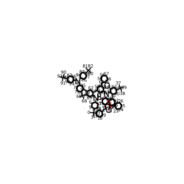 CC(C)(C)c1ccc(N2B3c4cc5c(-c6ccccc6)oc(-c6ccccc6)c5cc4N(c4ccc(C(C)(C)C)cc4-c4ccccc4)c4c3c(cc3c4oc4ccccc43)-c3cc4c(cc32)C(C)(C)c2ccc(N(c3ccc(C(C)(C)C)cc3)c3ccc(C(C)(C)C)cc3)cc2-4)cc1